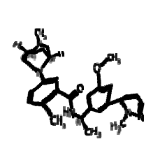 COc1cc(-c2ccnn2C)cc([C@@H](C)NC(=O)c2cc(N3C[C@H]4C[C@@H]3CN4C)ccc2C)c1